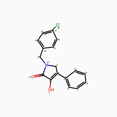 O=C1C(O)=C(c2ccccc2)CN1Cc1ccc(Cl)cc1